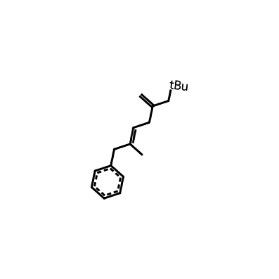 C=C(C/C=C(\C)Cc1ccccc1)CC(C)(C)C